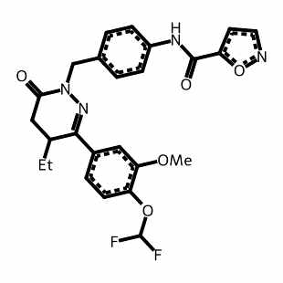 CCC1CC(=O)N(Cc2ccc(NC(=O)c3ccno3)cc2)N=C1c1ccc(OC(F)F)c(OC)c1